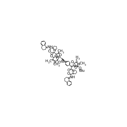 C[C@@H](OCC#Cc1ccc([C@H](NC(=O)[C@H](C)N(C)C(=O)OC(C)(C)C)C(=O)N2CCC[C@H]2C(=O)N[C@@H]2CCCc3ccccc32)cc1)[C@H](NC(=O)[C@H](C)N(C)C(=O)OC(C)(C)C)C(=O)N1CCC[C@H]1C(=O)N[C@@H]1CCCc2ccccc21